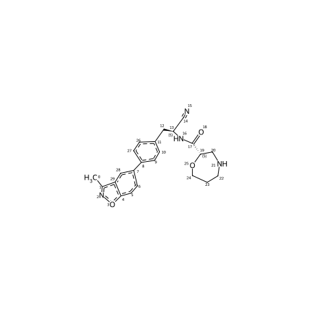 Cc1noc2ccc(-c3ccc(C[C@@H](C#N)NC(=O)[C@@H]4CNCCCO4)cc3)cc12